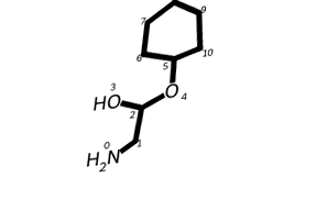 NCC(O)OC1CCCCC1